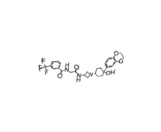 O=C(CNC(=O)c1cccc(C(F)(F)F)c1)NC1CN([C@H]2CC[C@@](O)(c3ccc4c(c3)OCCO4)CC2)C1